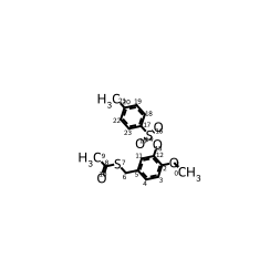 COc1ccc(CSC(C)=O)cc1OS(=O)(=O)c1ccc(C)cc1